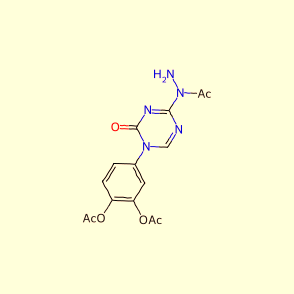 CC(=O)Oc1ccc(-n2cnc(N(N)C(C)=O)nc2=O)cc1OC(C)=O